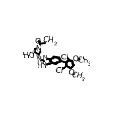 C=CC(=O)N1C[C@@H](O)[C@H](Nc2ncc3cc(-c4c(Cl)c(OC)cc(OC)c4Cl)ccc3n2)C1